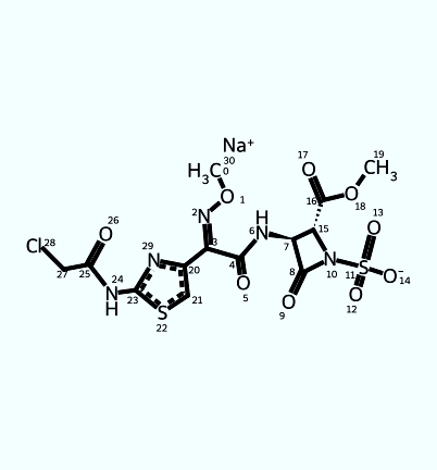 CON=C(C(=O)N[C@@H]1C(=O)N(S(=O)(=O)[O-])[C@H]1C(=O)OC)c1csc(NC(=O)CCl)n1.[Na+]